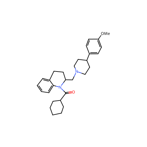 COc1ccc(C2CCN(CC3CCc4ccccc4N3C(=O)C3CCCCC3)CC2)cc1